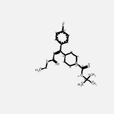 CCOC(=O)/C=C(/c1ccc(F)cc1)C1CCN(C(=O)OC(C)(C)C)CC1